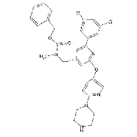 CN(Cc1cc(Oc2ccc(N3CCNCC3)nc2)nc(-c2cc(Cl)cc(Cl)c2)c1)C(=O)OCc1ccccc1